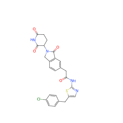 O=C1CCC(N2Cc3ccc(CC(=O)Nc4ncc(Cc5ccc(Cl)cc5)s4)cc3C2=O)C(=O)N1